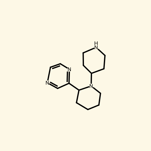 c1cnc(C2CCCCN2C2CCNCC2)cn1